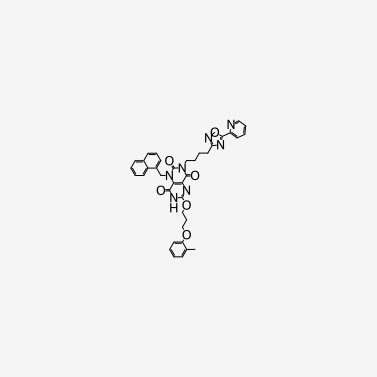 Cc1ccccc1OCCCOc1nc2c(=O)n(CCCCc3noc(-c4ccccn4)n3)c(=O)n(Cc3cccc4ccccc34)c2c(=O)[nH]1